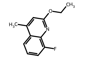 CCOc1cc(C)c2cccc(F)c2n1